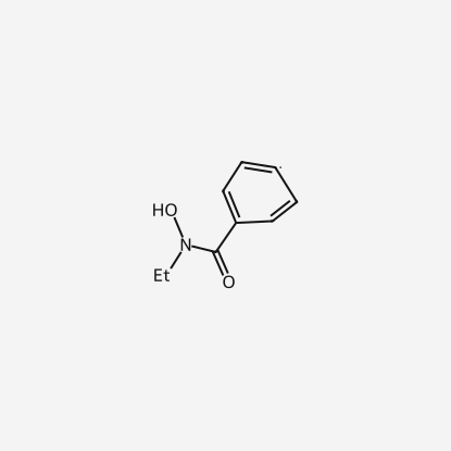 CCN(O)C(=O)c1cc[c]cc1